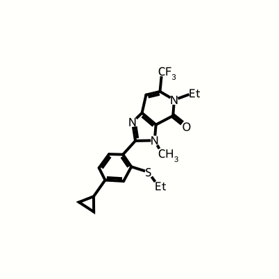 CCSc1cc(C2CC2)ccc1-c1nc2cc(C(F)(F)F)n(CC)c(=O)c2n1C